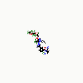 Cn1nc(OCC(F)(F)OC(F)(F)C(F)(F)OC(F)(F)F)c(C(F)(F)F)c1-n1cc(-c2ccc(Cl)c(C(=O)NC3(C#N)CC3)c2)cn1